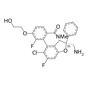 CNC(=O)c1ccc(OCCO)c(F)c1-c1c(Cl)c(F)cc2c1C[C@@](CN)(c1ccccc1)O2